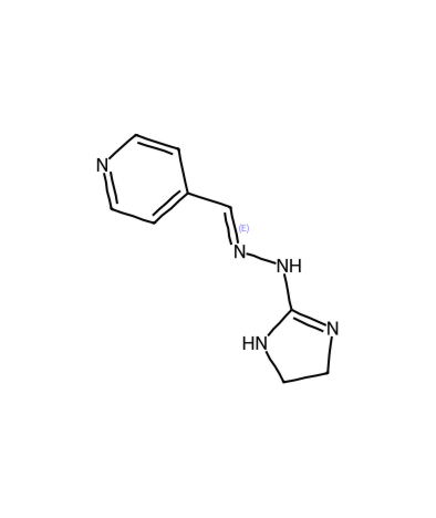 C(=N\NC1=NCCN1)/c1ccncc1